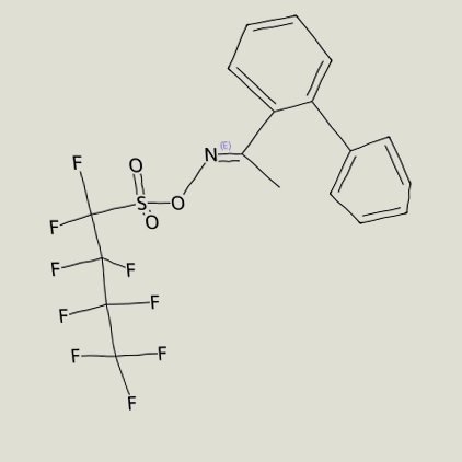 C/C(=N\OS(=O)(=O)C(F)(F)C(F)(F)C(F)(F)C(F)(F)F)c1ccccc1-c1ccccc1